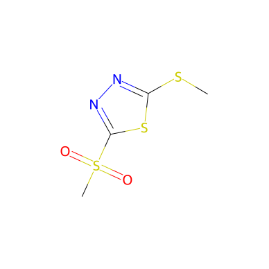 CSc1nnc(S(C)(=O)=O)s1